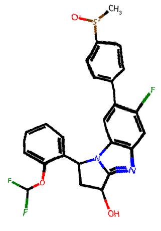 C[S+]([O-])c1ccc(-c2cc3c(cc2F)nc2n3C(c3ccccc3OC(F)F)CC2O)cc1